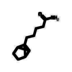 NC(=O)CCCCC1=CC2CCC1C2